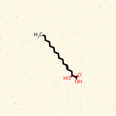 CCCCCCCCCCCC=CCC(O)C(=O)O